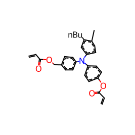 C=CC(=O)OCc1ccc(N(c2ccc(OC(=O)C=C)cc2)c2ccc(C)c(CCCC)c2)cc1